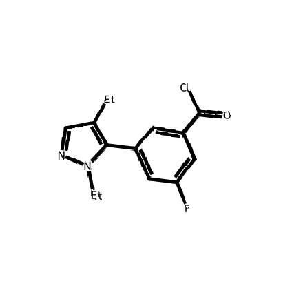 CCc1cnn(CC)c1-c1cc(F)cc(C(=O)Cl)c1